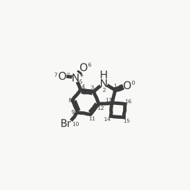 O=C1Nc2c([N+](=O)[O-])cc(Br)cc2C12CCC2